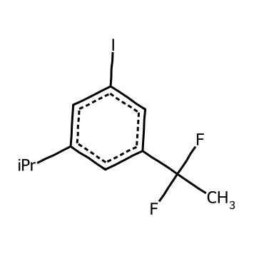 CC(C)c1cc(I)cc(C(C)(F)F)c1